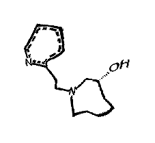 O[C@@H]1CCCN(Cc2ccccn2)C1